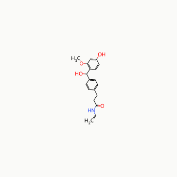 C=CNC(=O)CCc1ccc(C(O)c2ccc(O)cc2OC)cc1